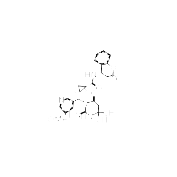 COc1cncc(C([C@@H]2C[C@H]2C(=O)N[C@H]2C[C@H](C(F)(F)F)Oc3ccccc32)N2C(=N)NC(C)(C)CC2=O)c1